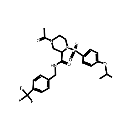 CC(=O)N1CCN(S(=O)(=O)c2ccc(OC(C)C)cc2)C(C(=O)NCc2ccc(C(F)(F)F)cc2)C1